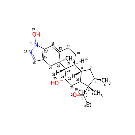 CCC(=O)[C@@]1(C)[C@H](C)C[C@H]2[C@@H]3CCC4=Cc5c(cnn5O)C[C@]4(C)[C@H]3[C@@H](O)C[C@@]21C